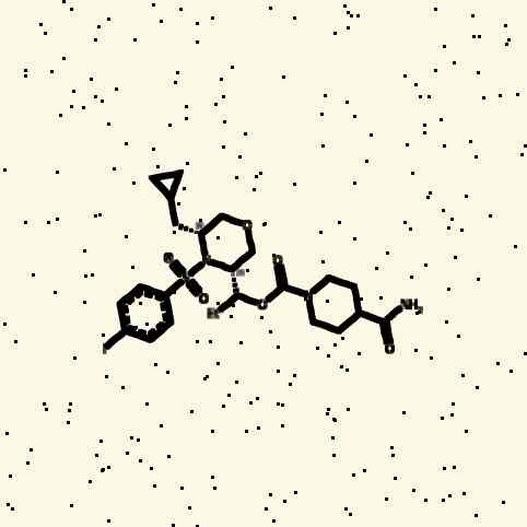 CCC(OC(=O)N1CCC(C(N)=O)CC1)[C@H]1COC[C@@H](CC2CC2)N1S(=O)(=O)c1ccc(I)cc1